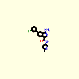 Cc1ccc(NC(=O)c2cnc(N)c3cc(-c4cccc(F)c4)ccc23)cn1